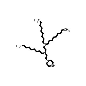 CCCCCCCCCN(CCCCCCCCC)CCN(CCCCCCCCC)CCN1CCNCC1